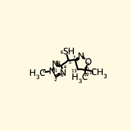 Cn1cnc(C(S)C2=NOC(C)(C)C2)n1